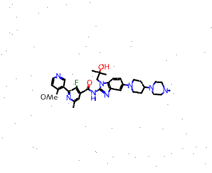 COc1ccncc1-c1nc(C)cc(C(=O)Nc2nc3cc(N4CCC(N5CCN(C)CC5)CC4)ccc3n2CC(C)(C)O)c1F